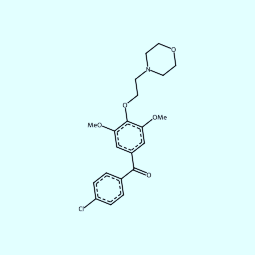 COc1cc(C(=O)c2ccc(Cl)cc2)cc(OC)c1OCCN1CCOCC1